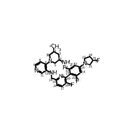 CC1CC(N)CN(c2ccncc2NCc2ccc(F)c(-c3c(F)cc(N4CCC(F)C4)cc3F)n2)C1